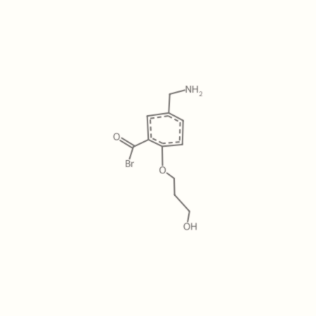 NCc1ccc(OCCCO)c(C(=O)Br)c1